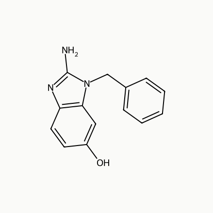 Nc1nc2ccc(O)cc2n1Cc1ccccc1